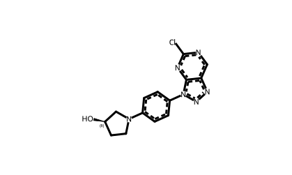 O[C@@H]1CCN(c2ccc(-n3nnc4cnc(Cl)nc43)cc2)C1